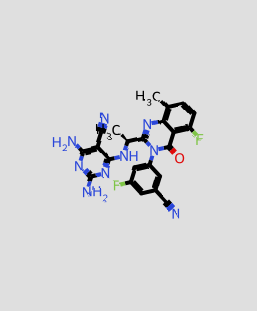 Cc1ccc(F)c2c(=O)n(-c3cc(F)cc(C#N)c3)c([C@H](C)Nc3nc(N)nc(N)c3C#N)nc12